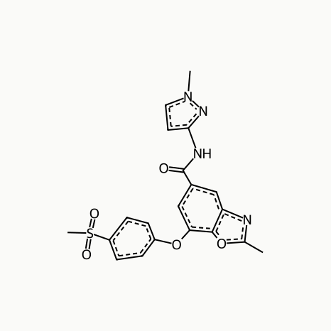 Cc1nc2cc(C(=O)Nc3ccn(C)n3)cc(Oc3ccc(S(C)(=O)=O)cc3)c2o1